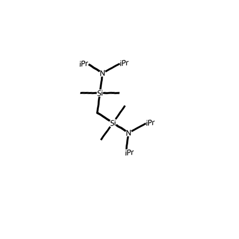 CC(C)N(C(C)C)[Si](C)(C)C[Si](C)(C)N(C(C)C)C(C)C